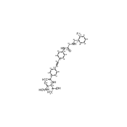 C=C(N[C@H](C(=O)NO)[C@@H](C)O)c1ccc(C#Cc2ccc(NC(=O)CNCc3ccccc3F)cc2)cc1